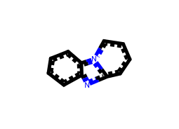 [c]1cccc2c1nc1ccccn12